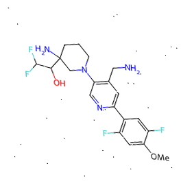 COc1cc(F)c(-c2cc(CN)c(N3CCCC(N)(C(O)C(F)F)C3)cn2)cc1F